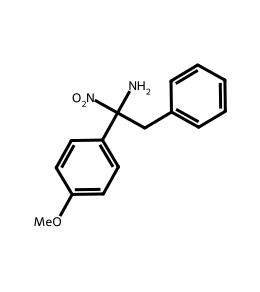 COc1ccc(C(N)(Cc2ccccc2)[N+](=O)[O-])cc1